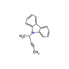 CC#CC(C)n1c2ccccc2c2ccccc21